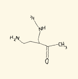 [2H]NC(CN)C(C)=O